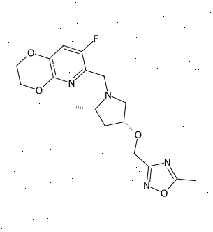 Cc1nc(CO[C@@H]2C[C@H](C)N(Cc3nc4c(cc3F)OCCO4)C2)no1